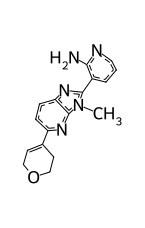 Cn1c(-c2cccnc2N)nc2ccc(C3=CCOCC3)nc21